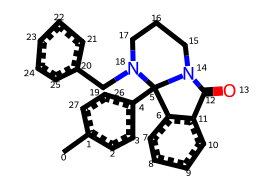 Cc1ccc(C23c4ccccc4C(=O)N2CCCN3Cc2ccccc2)cc1